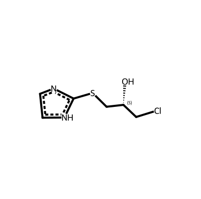 O[C@H](CCl)CSc1ncc[nH]1